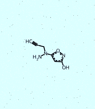 C#CCN(N)c1cc(O)no1